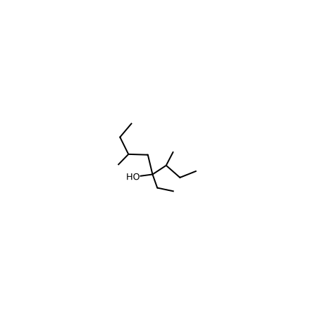 CCC(C)CC(O)(CC)C(C)CC